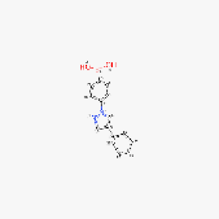 OB(O)c1ccc(-n2cc(-c3ccccc3)cn2)cc1